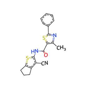 Cc1nc(-c2ccccc2)sc1C(=O)Nc1sc2c(c1C#N)CCC2